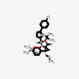 COC[C@@]1(c2ccccc2)CC1(C(=O)OC(C)(C)C)N(CC[Si](C)(C)C)S(=O)(=O)c1ccc(-c2ccc(Cl)cc2)s1